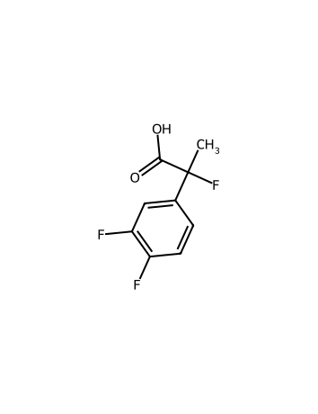 CC(F)(C(=O)O)c1ccc(F)c(F)c1